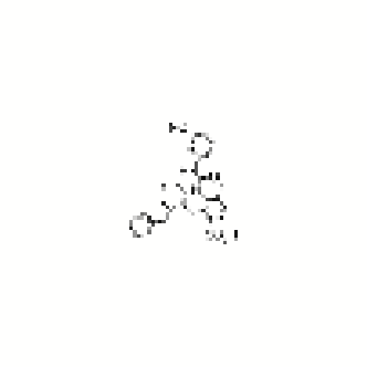 Cc1ccc(C(=O)O)c(CN2CCCCC2Cc2ccccc2)c1NC(=O)Nc1cccc(C#N)c1